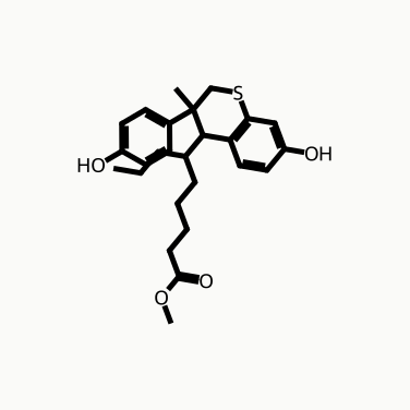 CCCC(CCCCC(=O)OC)C1c2ccc(O)cc2SCC1(C)c1ccc(O)cc1